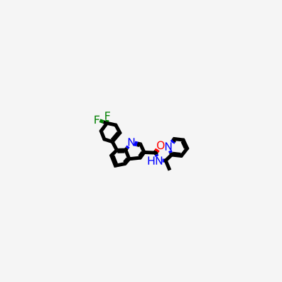 CC(NC(=O)c1cnc2c(C3=CCC(F)(F)CC3)cccc2c1)c1ccccn1